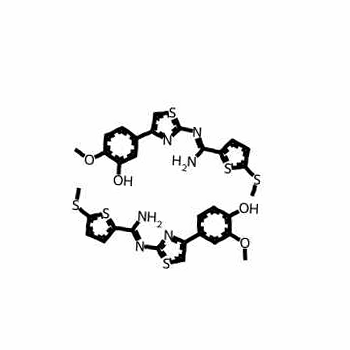 COc1cc(-c2csc(N=C(N)c3ccc(SC)s3)n2)ccc1O.COc1ccc(-c2csc(N=C(N)c3ccc(SC)s3)n2)cc1O